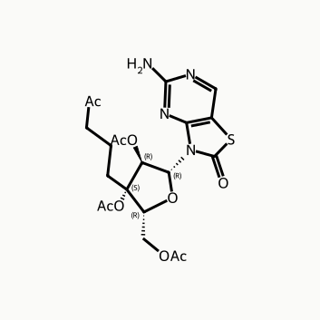 CC(=O)CCC[C@]1(OC(C)=O)[C@@H](COC(C)=O)O[C@@H](n2c(=O)sc3cnc(N)nc32)[C@@H]1OC(C)=O